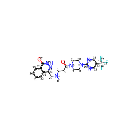 CN(CCC(=O)N1CCN(c2ncc(C(F)(F)F)cn2)CC1)Cc1n[nH]c(=O)c2ccccc12